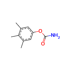 Cc1cc(OC(N)=O)cc(C)c1C